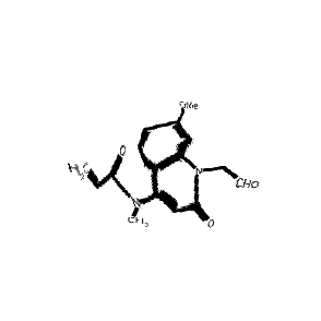 C=CC(=O)N(C)c1cc(=O)n(CC=O)c2cc(OC)ccc12